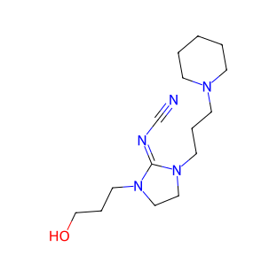 N#C/N=C1/N(CCCO)CCN1CCCN1CCCCC1